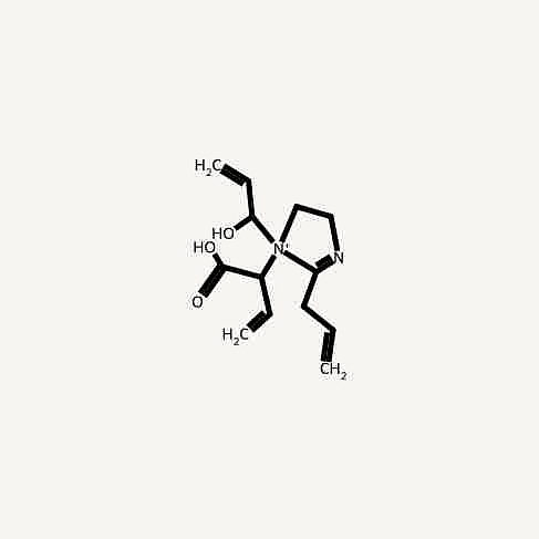 C=CCC1=NCC[N+]1(C(O)C=C)C(C=C)C(=O)O